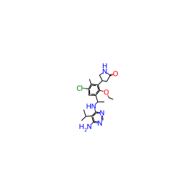 CCOc1c(C(C)Nc2ncnc(N)c2C(C)C)cc(Cl)c(C)c1C1CNC(=O)C1